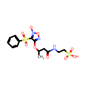 CC(CC(=O)NCCS(=O)(=O)O)Oc1no[n+]([O-])c1S(=O)(=O)c1ccccc1